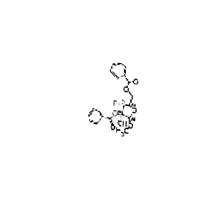 CO[C@@H]1O[C@H](COC(=O)c2ccccc2)[C@@H](F)[C@]1(C)OC(=O)c1ccccc1